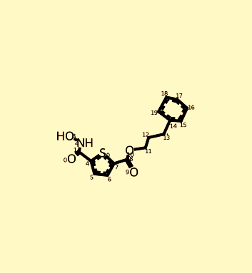 O=C(NO)c1ccc(C(=O)OCC[CH]c2ccccc2)s1